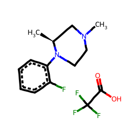 C[C@H]1CN(C)CCN1c1ccccc1F.O=C(O)C(F)(F)F